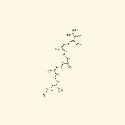 CCCCN(CCCC)C(=O)C(C)=CCCC(C)=CCCC(C)=CCCC(C)=CCCC(C)=CCCC(C)=O